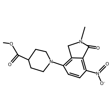 COC(=O)C1CCN(c2ccc([N+](=O)[O-])c3c2CN(C)C3=O)CC1